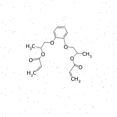 C=CC(=O)OC(C)COc1ccccc1OCC(C)OC(=O)C=C